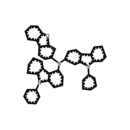 c1ccc(-n2c3ccccc3c3ccc(N(c4ccc5c(c4)oc4ccccc45)c4cccc5c4c4ccccc4n5-c4ccccc4)cc32)cc1